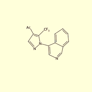 CC(=O)c1cnn(-c2cncc3ccccc23)c1C(F)(F)F